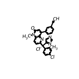 C#Cc1cccc(-c2cc(=O)n(C)c3ccc([C@](Cl)(c4ccc(Cl)cc4)c4cncn4C)nc23)c1